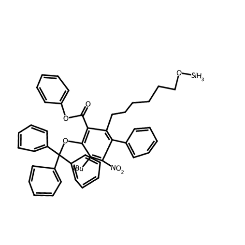 CC(C)(C)c1c(OC(c2ccccc2)(c2ccccc2)c2ccccc2)c(C(=O)Oc2ccccc2)c(CCCCCCO[SiH3])c(-c2ccccc2)c1[N+](=O)[O-]